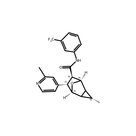 Cc1cc([C@@H]2[C@@H](C(=O)Nc3cccc(C(F)(F)F)c3)[C@@H]3O[C@H]2C2C3[C@@H]2C)ccn1